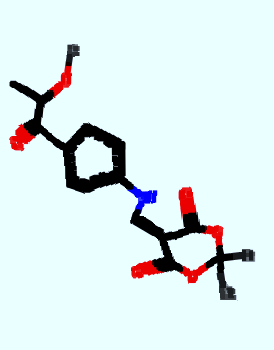 CCOC(C)C(=O)c1ccc(NC=C2C(=O)OC(CC)(CC)OC2=O)cc1